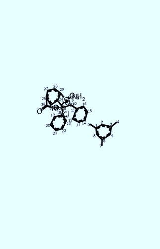 Cc1cc(C)cc(C)c1.N[C@H](c1ccccc1)[C@@H](c1ccccc1)c1cc2ccc1[S](=O)(=O)[Ru]([Cl])[NH]C2=O